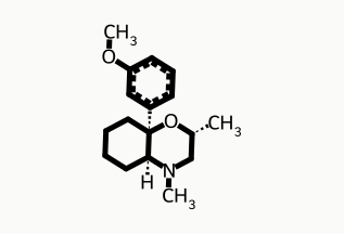 COc1cccc([C@@]23CCCC[C@@H]2N(C)C[C@@H](C)O3)c1